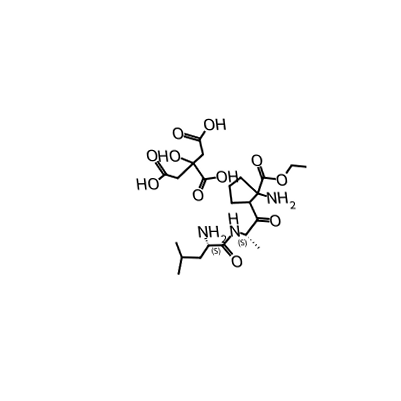 CCOC(=O)C1(N)CCCC1C(=O)[C@H](C)NC(=O)[C@@H](N)CC(C)C.O=C(O)CC(O)(CC(=O)O)C(=O)O